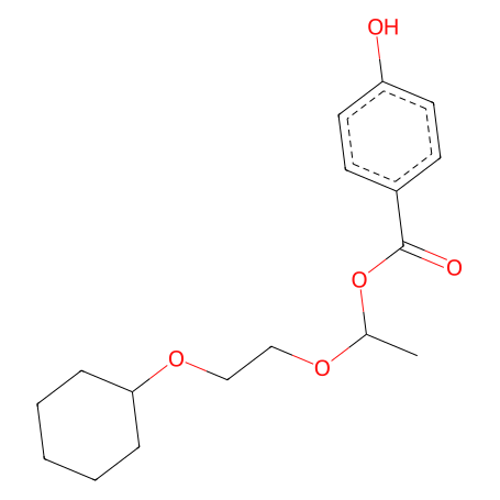 CC(OCCOC1CCCCC1)OC(=O)c1ccc(O)cc1